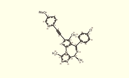 COc1ccc(C#Cc2sc3c(c2C)C(c2ccc(Cl)cc2)=N[C@@H](C)c2nnc(C)n2-3)nc1